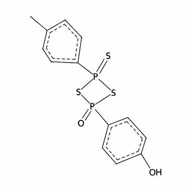 Cc1ccc(P2(=S)SP(=O)(c3ccc(O)cc3)S2)cc1